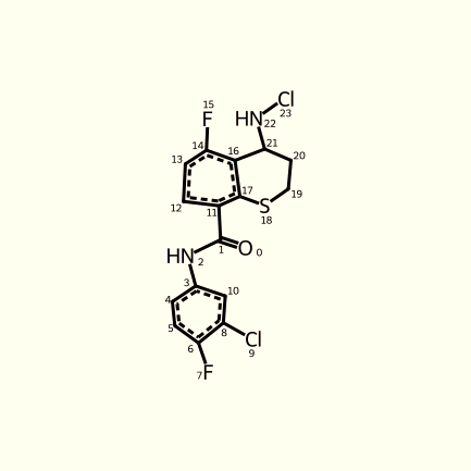 O=C(Nc1ccc(F)c(Cl)c1)c1ccc(F)c2c1SCCC2NCl